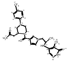 CC(Cn1ccc(C(=O)N2CCN(c3ncc(C(F)(F)F)cn3)CC2CC(N)=O)c1)Nc1cn[nH]c(=O)c1C(F)(F)F